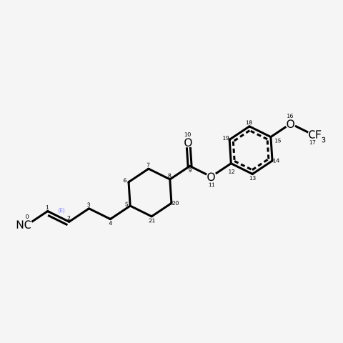 N#C/C=C/CCC1CCC(C(=O)Oc2ccc(OC(F)(F)F)cc2)CC1